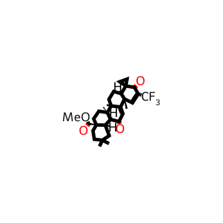 COC(=O)[C@]12CCC(C)(C)C[C@H]1[C@H]1C(=O)C=C3[C@@]4(C)C=C(C(F)(F)F)C(=O)C5(CC5)[C@@H]4CC[C@@]3(C)[C@]1(C)CC2